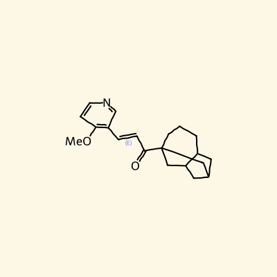 COc1ccncc1/C=C/C(=O)C12CCCC3CC(CC3C1)C2